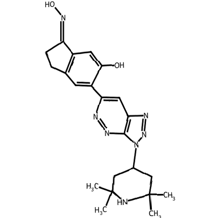 CC1(C)CC(n2nnc3cc(-c4cc5c(cc4O)C(=NO)CC5)nnc32)CC(C)(C)N1